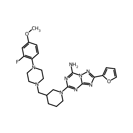 COc1ccc(N2CCN(CC3CCCN(c4nc(N)n5nc(-c6ccco6)nc5n4)C3)CC2)c(F)c1